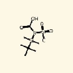 CC(C)(C)[Si](C)(C)N(C(=O)O)S(=O)(=O)Cl